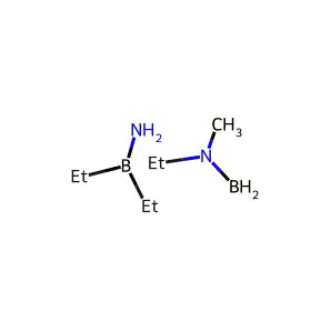 BN(C)CC.CCB(N)CC